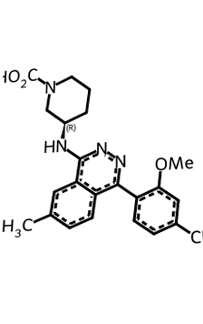 COc1cc(C#N)ccc1-c1nnc(N[C@@H]2CCCN(C(=O)O)C2)c2cc(C)ccc12